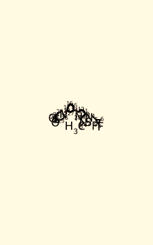 CN1SN(CC2CC2(F)F)c2ccc(-c3cccc(N4CCS(=O)(=O)CC4)c3)nc21